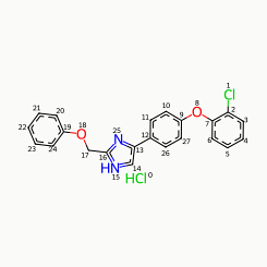 Cl.Clc1ccccc1Oc1ccc(-c2c[nH]c(COc3ccccc3)n2)cc1